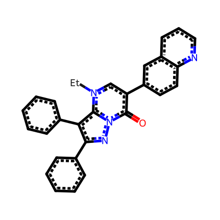 [CH2]Cn1cc(-c2ccc3ncccc3c2)c(=O)n2nc(-c3ccccc3)c(-c3ccccc3)c12